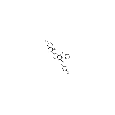 COc1ccc(CNc2nc3c(c(=O)n2-c2ccccc2)CN(C(=O)Nc2ccc(Cl)cc2C)CC3)cc1